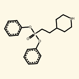 O=P(CCC1CCNCC1)(Oc1ccccc1)Oc1ccccc1